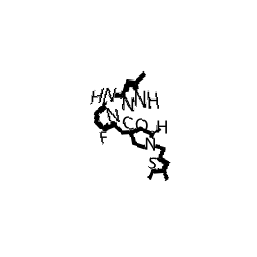 Cc1cc(Nc2ccc(F)c(C[C@@]3(C(=O)O)CCN(Cc4cc(C)c(C)s4)[C@H](C)C3)n2)n[nH]1